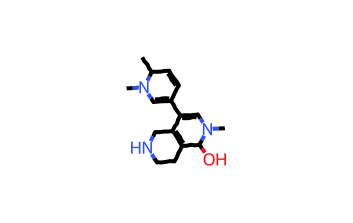 CC1C=CC(C2=CN(C)C(O)C3=C2CNCC3)=CN1C